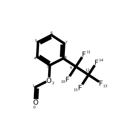 O=COc1ccccc1C(F)(F)C(F)(F)F